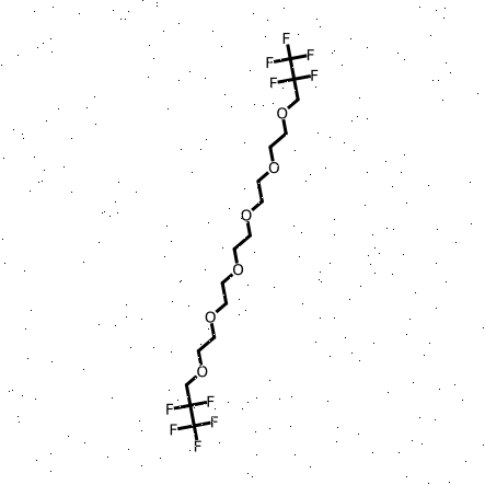 FC(F)(F)C(F)(F)COCCOCCOCCOCCOCCOCC(F)(F)C(F)(F)F